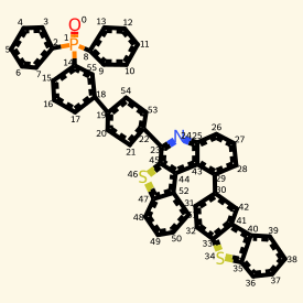 O=P(c1ccccc1)(c1ccccc1)c1cccc(-c2ccc(-c3nc4cccc(-c5ccc6sc7ccccc7c6c5)c4c4c3sc3ccccc34)cc2)c1